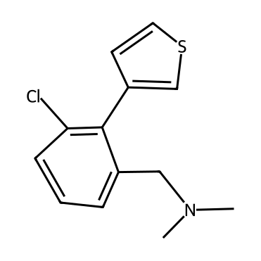 CN(C)Cc1cccc(Cl)c1-c1ccsc1